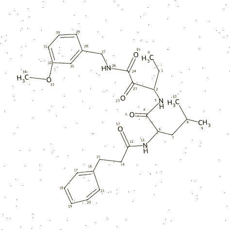 CCC(NC(=O)C(CC(C)C)NC(=O)CCc1ccccc1)C(=O)C(=O)NCc1cccc(OC)c1